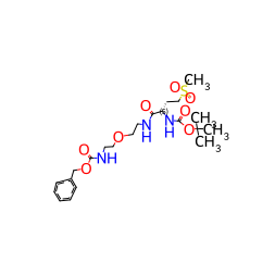 CC(C)(C)OC(=O)N[C@@H](CCS(C)(=O)=O)C(=O)NCCOCCNC(=O)OCc1ccccc1